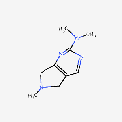 CN1Cc2cnc(N(C)C)nc2C1